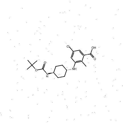 Cc1c(N[C@H]2CC[C@H](NC(=O)OC(C)(C)C)CC2)cc(Cl)cc1C(=O)O